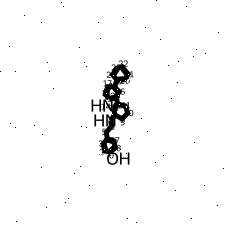 Oc1ccc(CCNC2CCCc3c2[nH]c2ccc(-c4ccccc4)cc32)cc1